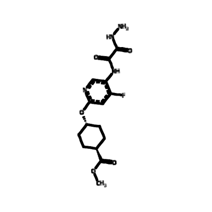 COC(=O)[C@H]1CC[C@H](Oc2cc(F)c(NC(=O)C(=O)NN)cn2)CC1